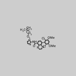 COc1cc(OC)c(Cl)c(-c2ccc(C(=O)Nc3nccn3COCC[Si](C)(C)C)c3nccnc23)c1Cl